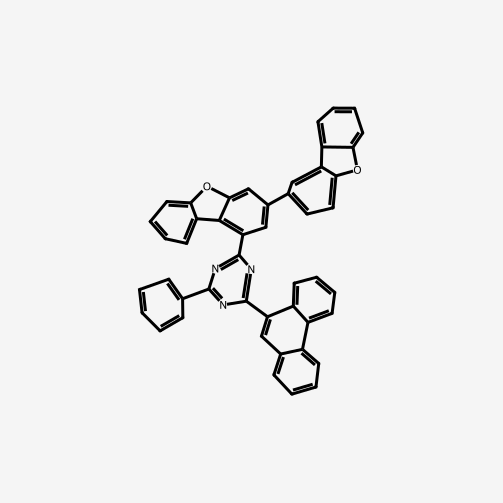 c1ccc(-c2nc(-c3cc4ccccc4c4ccccc34)nc(-c3cc(-c4ccc5oc6ccccc6c5c4)cc4oc5ccccc5c34)n2)cc1